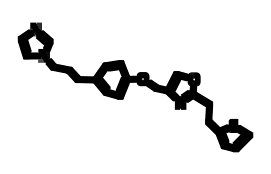 c1csc(CCc2nc(COc3ccc(CCCn4ccnc4)cc3)co2)c1